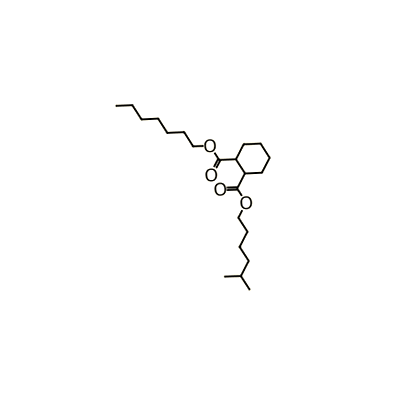 CCCCCCCOC(=O)C1CCCCC1C(=O)OCCCCC(C)C